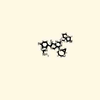 Nc1nc2c(-c3ncc4c(N5CCCOC6CC65)nc(OC[C@@]56CCCN5C[C@H](F)C6)nc4c3F)ccc(F)c2s1